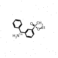 CCOP(C)(=O)c1cccc([C@H](N)c2ccccc2)c1